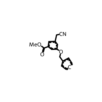 COC(=O)c1cc(CC#N)cc(OCc2ccccc2)c1